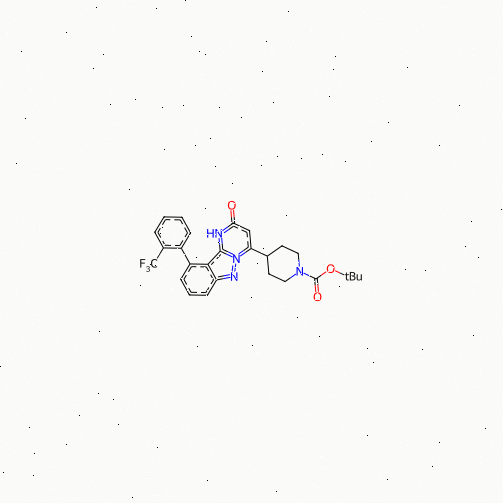 CC(C)(C)OC(=O)N1CCC(c2cc(=O)[nH]c3c4c(-c5ccccc5C(F)(F)F)cccc4nn23)CC1